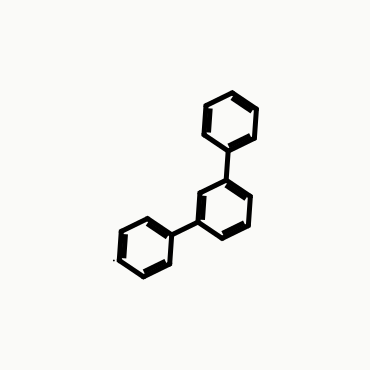 [c]1ccc(-c2cccc(-c3ccccc3)c2)cc1